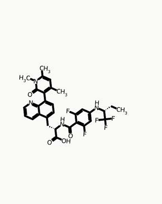 CC[C@@H](Nc1cc(F)c(C(=O)N[C@@H](Cc2ccc(-c3c(C)cc(C)n(C)c3=O)c3ncccc23)C(=O)O)c(F)c1)C(F)(F)F